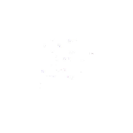 O=C(Nc1c(-c2cc(P)ccc2P)ccnc1N1CCOCC1)c1cnc(C2CC2)[nH]c1=O